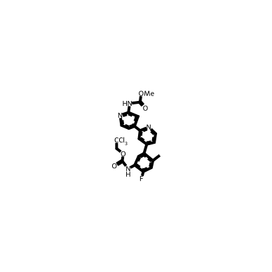 COC(=O)Nc1cc(-c2cc(-c3cc(NC(=O)OCC(Cl)(Cl)Cl)c(F)cc3C)ccn2)ccn1